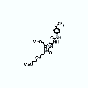 COCCOCCCNC(=O)c1nc(NC(=O)Nc2ccc(OC(F)(F)F)cc2)cn1CCOC